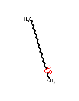 CCCCCCCCCCCCCCCCCCCCCC(=O)OC(=O)CCC